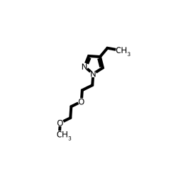 CCc1cnn(CCOCCOC)c1